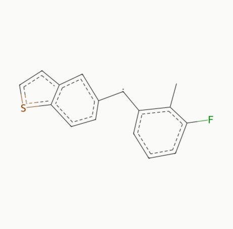 Cc1c(F)cccc1[CH]c1ccc2sccc2c1